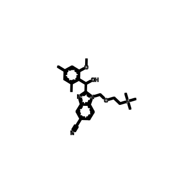 COc1cc(C)cc(C)c1C(O)c1nc2cc(C#N)ccc2n1COCC[Si](C)(C)C